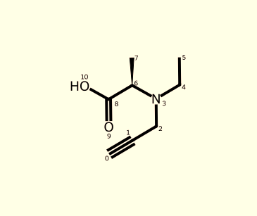 C#CCN(CC)[C@H](C)C(=O)O